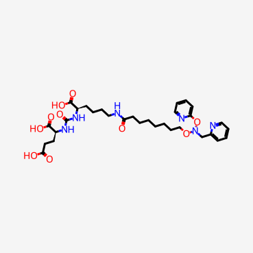 O=C(O)CC[C@H](NC(=O)N[C@H](CCCCNC(=O)CCCCCCCON(Cc1ccccn1)Oc1ccccn1)C(=O)O)C(=O)O